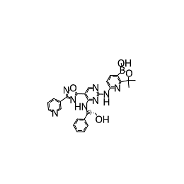 CC1(C)OB(O)c2ccc(Nc3ncc(-c4nc(-c5cccnc5)no4)c(N[C@H](CO)c4ccccc4)n3)nc21